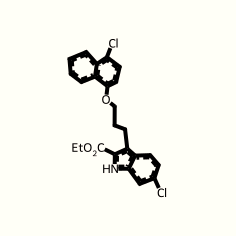 CCOC(=O)c1[nH]c2cc(Cl)ccc2c1CCCOc1ccc(Cl)c2ccccc12